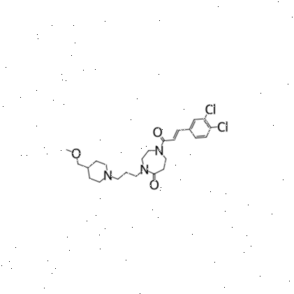 COCC1CCN(CCCN2CCN(C(=O)C=Cc3ccc(Cl)c(Cl)c3)CCC2=O)CC1